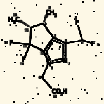 C[C@@H]1c2c(C(F)F)nn(CC(=O)O)c2C(F)(F)[C@@H]1C